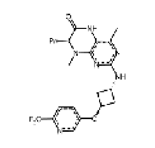 Cc1nc(N[C@H]2C[C@H](Oc3ccc(C(F)(F)F)nc3)C2)nc2c1NC(=O)[C@H](C(C)C)N2C